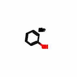 Oc1ccccc1.[Mn]